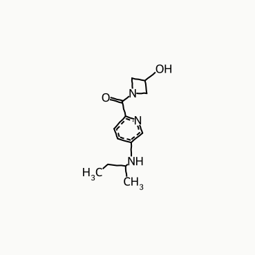 CCC(C)Nc1ccc(C(=O)N2CC(O)C2)nc1